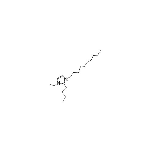 CCCCCCCCCCN1C=CN(CC)C1CCCC